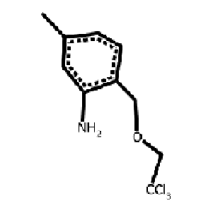 Cc1ccc(COCC(Cl)(Cl)Cl)c(N)c1